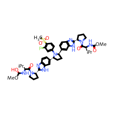 COC(=O)N[C@H](C(=O)N1CCC[C@H]1c1nc2ccc([C@H]3CC[C@H](c4ccc5nc([C@@H]6CCCN6C(=O)[C@@H](NC(O)OC)C(C)C)[nH]c5c4)N3c3ccc(S(C)(=O)=O)c(F)c3)cc2[nH]1)C(C)C